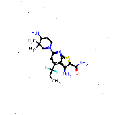 CCC(F)(F)c1cc(N2CCC(N)C(C)(C)C2)nc2sc(C(N)=O)c(N)c12